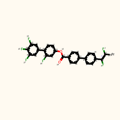 CCC/C(F)=C(\F)c1ccc(-c2ccc(C(=O)Oc3ccc(-c4cc(F)c(F)c(F)c4)c(F)c3)cc2)cc1